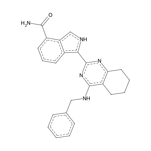 NC(=O)c1cccc2c(-c3nc4c(c(NCc5ccccc5)n3)CCCC4)[nH]cc12